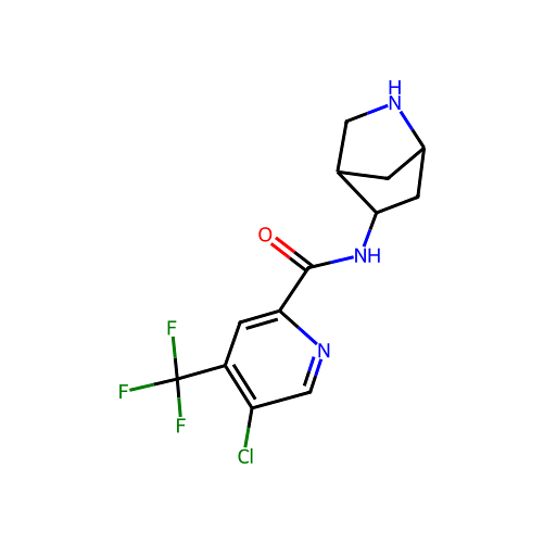 O=C(NC1CC2CC1CN2)c1cc(C(F)(F)F)c(Cl)cn1